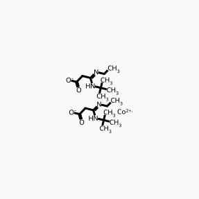 CCN=C(CC(=O)[O-])NC(C)(C)C.CCN=C(CC(=O)[O-])NC(C)(C)C.[Co+2]